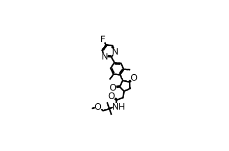 COCC(C)(C)NC(=O)CC1CC(=O)C(c2c(C)cc(-c3ncc(F)cn3)cc2C)C1=O